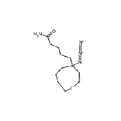 [N-]=[N+]=NC1(CCCCC(N)=O)CCCCCCC1